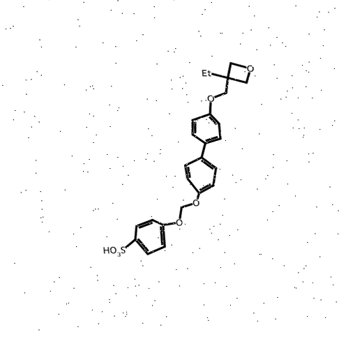 CCC1(COc2ccc(-c3ccc(OCOc4ccc(S(=O)(=O)O)cc4)cc3)cc2)COC1